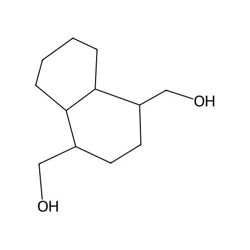 OCC1CCC(CO)C2CCCCC12